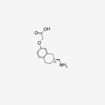 NC[C@H]1CCc2ccc(OCC(=O)O)cc2C1